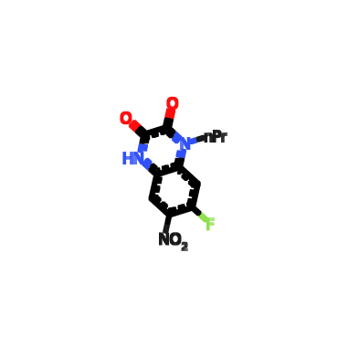 CCCn1c(=O)c(=O)[nH]c2cc([N+](=O)[O-])c(F)cc21